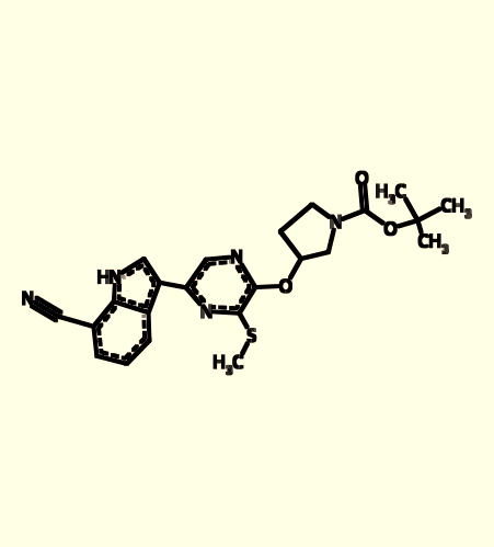 CSc1nc(-c2c[nH]c3c(C#N)cccc23)cnc1OC1CCN(C(=O)OC(C)(C)C)C1